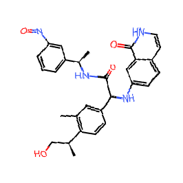 Cc1cc(C(Nc2ccc3cc[nH]c(=O)c3c2)C(=O)N[C@H](C)c2cccc(N=O)c2)ccc1[C@@H](C)CO